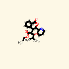 CCOC(=O)/C(=C(/O)C(C)C)c1c(-c2ccccn2)oc(=O)c2ccccc12